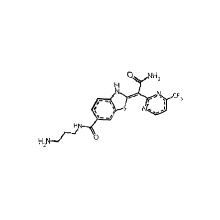 NCCCNC(=O)c1ccc2c(c1)S/C(=C(/C(N)=O)c1nccc(C(F)(F)F)n1)N2